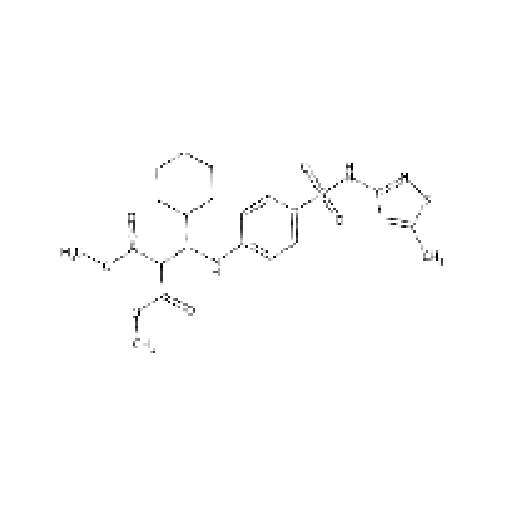 COC(=O)C(C(=O)OC)C(Nc1ccc(S(=O)(=O)Nc2cc(C)sn2)cc1)C1CCCCC1